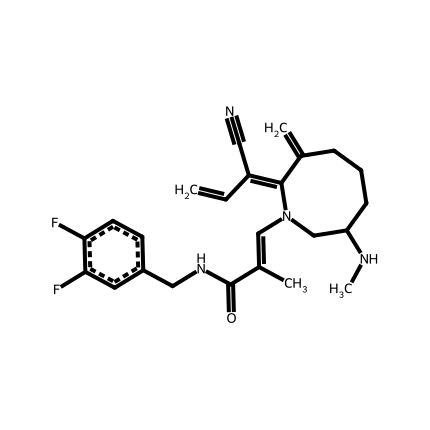 C=C/C(C#N)=C1/C(=C)CCCC(NC)CN1/C=C(\C)C(=O)NCc1ccc(F)c(F)c1